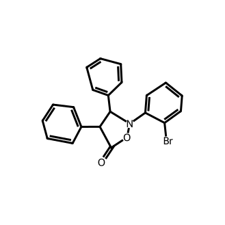 O=C1ON(c2ccccc2Br)C(c2ccccc2)C1c1ccccc1